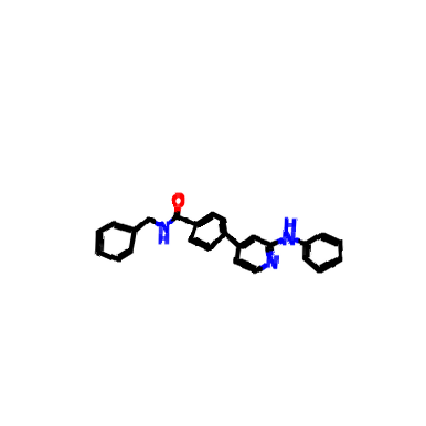 O=C(NCc1ccccc1)c1ccc(-c2ccnc(Nc3ccccc3)c2)cc1